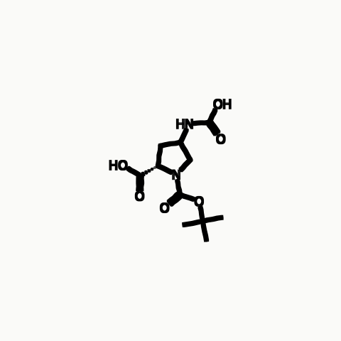 CC(C)(C)OC(=O)N1CC(NC(=O)O)C[C@H]1C(=O)O